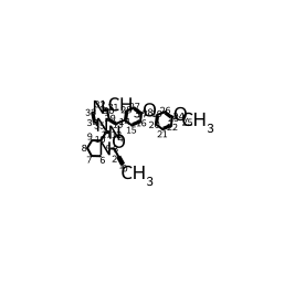 CC#CC(=O)N1CCCCC1c1nc(-c2ccc(Oc3cccc(OC)c3)cc2)c2c(C)nccn12